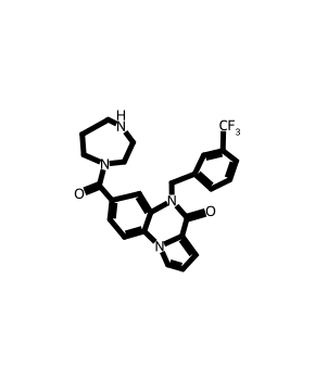 O=C(c1ccc2c(c1)n(Cc1cccc(C(F)(F)F)c1)c(=O)c1cccn12)N1CCCNCC1